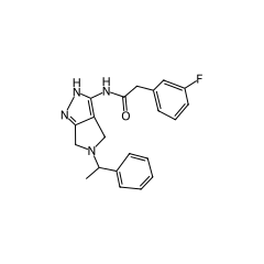 CC(c1ccccc1)N1Cc2n[nH]c(NC(=O)Cc3cccc(F)c3)c2C1